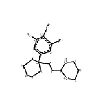 Fc1cc(C2(CCC3OCCCO3)CCCCC2)cc(F)c1F